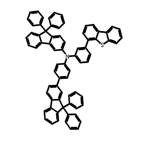 c1ccc(C2(c3ccccc3)c3ccccc3-c3cc(N(c4ccc(-c5ccc6c(c5)C(c5ccccc5)(c5ccccc5)c5ccccc5-6)cc4)c4cccc(-c5cccc6c5sc5ccccc56)c4)ccc32)cc1